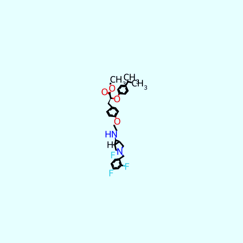 CCOC(=O)[C@H](Cc1ccc(OCCN[C@H]2C3CN(Cc4c(F)cc(F)cc4F)C[C@@H]32)cc1)Oc1ccc(C(C)C)cc1